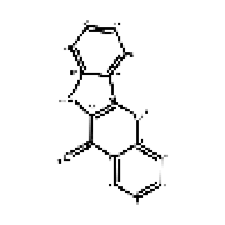 O=c1c2ccccc2oc2c1sc1ccccc12